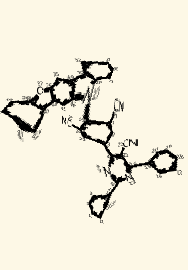 N#Cc1cc(-c2nc(-c3ccccc3)nc(-c3ccccc3)c2C#N)cc(C#N)c1-n1c2ccccc2c2cc3oc4ccccc4c3cc21